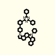 c1ccc(-c2nc(-c3ccccc3)nc(-c3cccc(-c4ccc(-n5ccc6ccc7c(ccc8c7c7c9ccccc9ccc7n8-c7ccccc7)c65)cc4)c3)n2)cc1